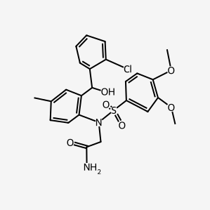 COc1ccc(S(=O)(=O)N(CC(N)=O)c2ccc(C)cc2C(O)c2ccccc2Cl)cc1OC